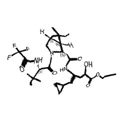 CCOC(=O)C(O)C(CC1CC1)NC(=O)[C@@H]1[C@@H]2[C@H](CN1C(=O)[C@@H](NC(=O)C(F)(F)F)C(C)(C)C)C2(C)C